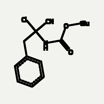 CC(C)(C)OC(=O)NC(Cl)(C#N)Cc1ccccc1